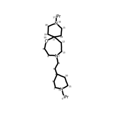 CC(C)N1CCC(CCN2CCOC3(CC2)CCN(C(C)C)CC3)CC1